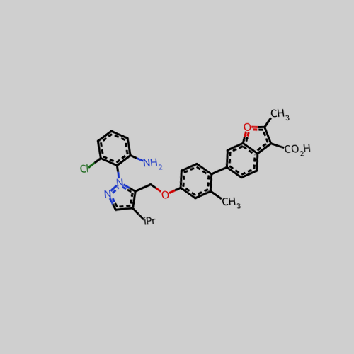 Cc1cc(OCc2c(C(C)C)cnn2-c2c(N)cccc2Cl)ccc1-c1ccc2c(C(=O)O)c(C)oc2c1